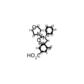 O=C(O)c1cc(F)c(CN(C(=O)N2CCOCC2)c2ccccc2)c(F)c1